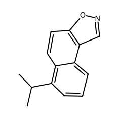 CC(C)c1cccc2c1ccc1oncc12